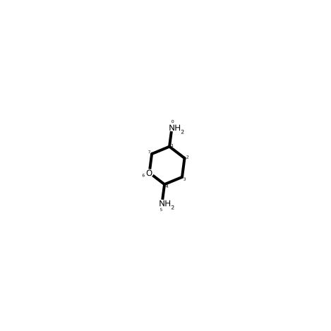 NC1CCC(N)OC1